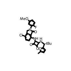 COc1ccc(F)c(N2Cc3c(Cl)ccc(NC4C(=O)C(=O)C4N[C@@H](c4ccc(C)o4)C(C)(C)C)c3C2=O)c1